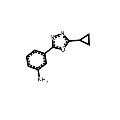 Nc1cccc(-c2nnc(C3CC3)o2)c1